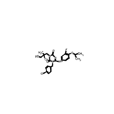 CC(C)Oc1ccc(Nc2nc(=O)n(CC(C)(C)CO)c(=O)n2Cc2ccc(Cl)cc2)cc1F